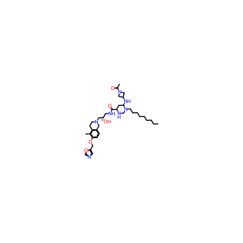 CCCCCCCCCN1CNC(C(=O)NC[C@H](O)CN2CCc3c(ccc(OCc4cnco4)c3C)C2)CC1NC1CN(C(C)=O)C1